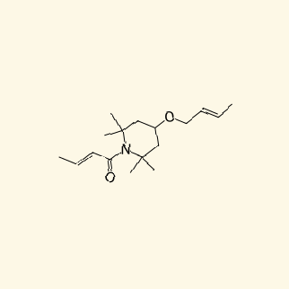 CC=CCOC1CC(C)(C)N(C(=O)C=CC)C(C)(C)C1